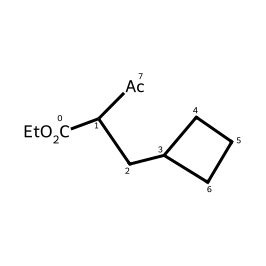 CCOC(=O)C(CC1CCC1)C(C)=O